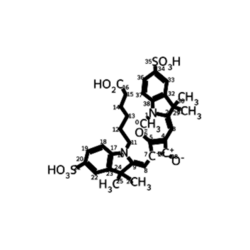 CN1C(=Cc2c([O-])[c+](C=C3N(CCCCCC(=O)O)c4ccc(S(=O)(=O)O)cc4C3(C)C)[c+]2[O-])C(C)(C)c2cc(S(=O)(=O)O)ccc21